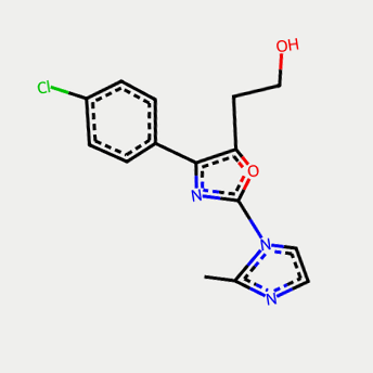 Cc1nccn1-c1nc(-c2ccc(Cl)cc2)c(CCO)o1